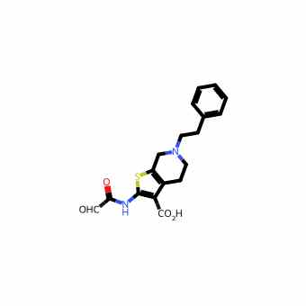 O=CC(=O)Nc1sc2c(c1C(=O)O)CCN(CCc1ccccc1)C2